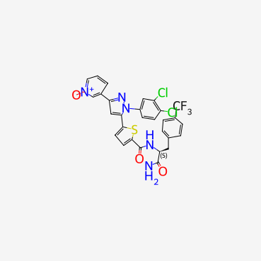 NC(=O)[C@H](Cc1ccc(C(F)(F)F)cc1)NC(=O)c1ccc(-c2cc(-c3ccc[n+]([O-])c3)nn2-c2ccc(Cl)c(Cl)c2)s1